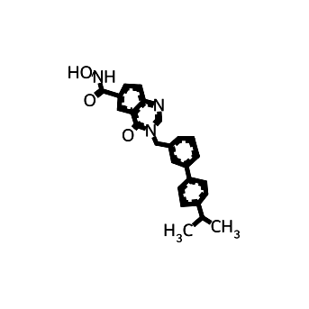 CC(C)c1ccc(-c2cccc(Cn3cnc4ccc(C(=O)NO)cc4c3=O)c2)cc1